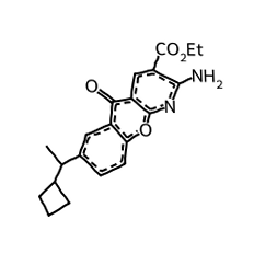 CCOC(=O)c1cc2c(=O)c3cc(C(C)C4CCC4)ccc3oc2nc1N